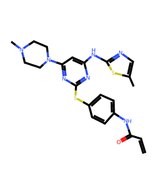 C=CC(=O)Nc1ccc(Sc2nc(Nc3ncc(C)s3)cc(N3CCN(C)CC3)n2)cc1